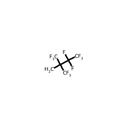 [CH2]C(C(F)(F)F)(C(F)(F)F)C(F)(F)C(F)(F)F